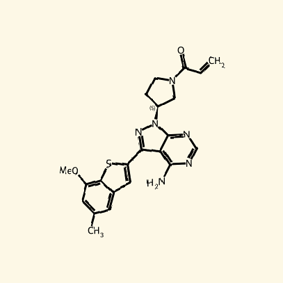 C=CC(=O)N1CC[C@H](n2nc(-c3cc4cc(C)cc(OC)c4s3)c3c(N)ncnc32)C1